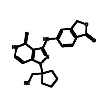 N#CCC1(n2nc(Nc3ccc4c(c3)COC4=O)c3c(=O)[nH]ccc32)CCCC1